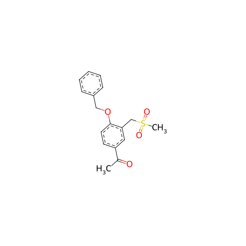 CC(=O)c1ccc(OCc2ccccc2)c(CS(C)(=O)=O)c1